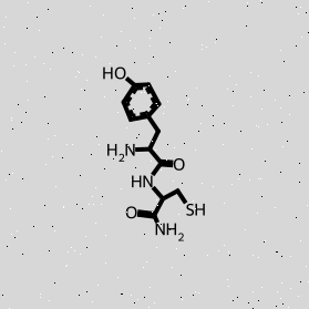 NC(=O)C(CS)NC(=O)C(N)Cc1ccc(O)cc1